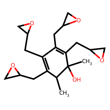 CC1C(CC2CO2)=C(CC2CO2)C(CC2CO2)=C(CC2CO2)C1(C)O